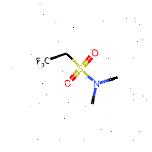 CN(C)S(=O)(=O)CC(F)(F)F